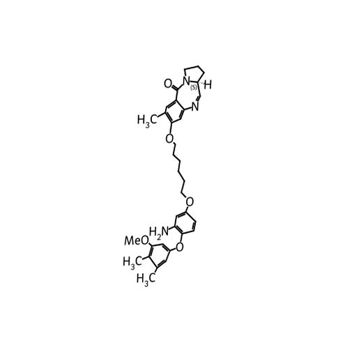 COc1cc(Oc2ccc(OCCCCCCOc3cc4c(cc3C)C(=O)N3CCC[C@H]3C=N4)cc2N)cc(C)c1C